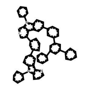 c1ccc(-c2cc(-c3ccccc3)cc(-c3cccc(-c4ccc5c(c4)c4c(-c6cccc(-c7ccc8c(c7)c7ncccc7n8-c7ccccc7)c6)cccc4n5-c4ccccc4)c3)c2)cc1